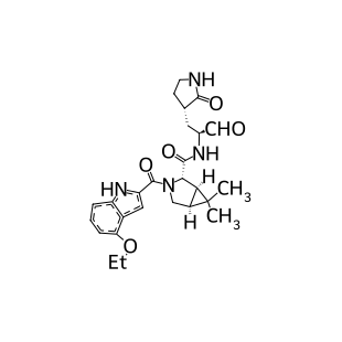 CCOc1cccc2[nH]c(C(=O)N3C[C@H]4[C@@H]([C@H]3C(=O)N[C@H](C=O)C[C@@H]3CCNC3=O)C4(C)C)cc12